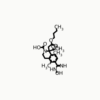 CCCCOC(=O)CC1(C(C)(C)C)c2ccc(C(=N)NO)c(C)c2CCN1C(=O)O